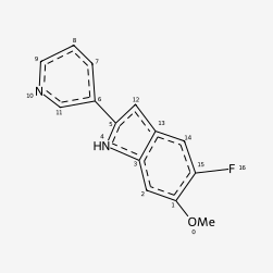 COc1cc2[nH]c(-c3cccnc3)cc2cc1F